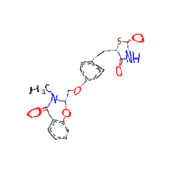 CN1C(=O)c2ccccc2OC1COc1ccc(CC2SC(=O)NC2=O)cc1